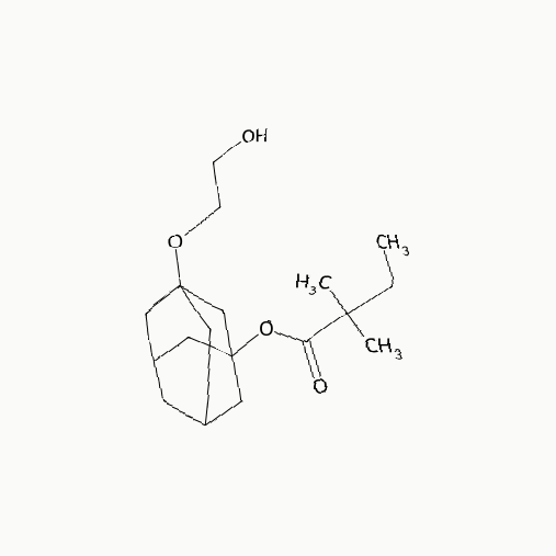 CCC(C)(C)C(=O)OC12CC3CC(CC(OCCO)(C3)C1)C2